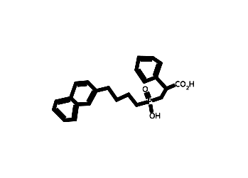 O=C(O)C(CP(=O)(O)CCCCc1ccc2ccccc2c1)c1ccccc1